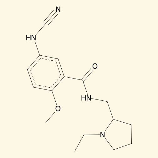 CCN1CCCC1CNC(=O)c1cc(NC#N)ccc1OC